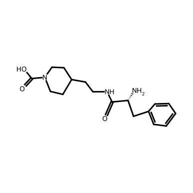 N[C@H](Cc1ccccc1)C(=O)NCCC1CCN(C(=O)O)CC1